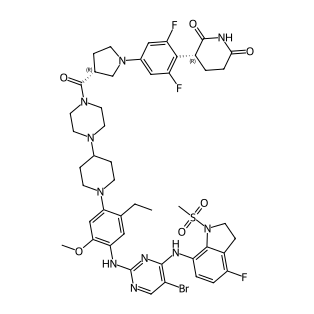 CCc1cc(Nc2ncc(Br)c(Nc3ccc(F)c4c3N(S(C)(=O)=O)CC4)n2)c(OC)cc1N1CCC(N2CCN(C(=O)[C@@H]3CCN(c4cc(F)c([C@H]5CCC(=O)NC5=O)c(F)c4)C3)CC2)CC1